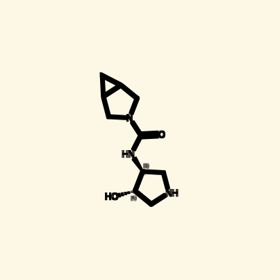 O=C(N[C@H]1CNC[C@@H]1O)N1CC2CC2C1